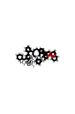 C=C1C2C(CCc3ccc4c(sc5cc(C6CCCCC6)ccc54)c3-c3n(-c4c(C(C)C)cc(-c5ccccc5)cc4C(C)C)c4ccccc4[n+]31)c1ccccc1-c1cc(CC3CCCCC3)c([Si](C)(C)C)c[n+]12